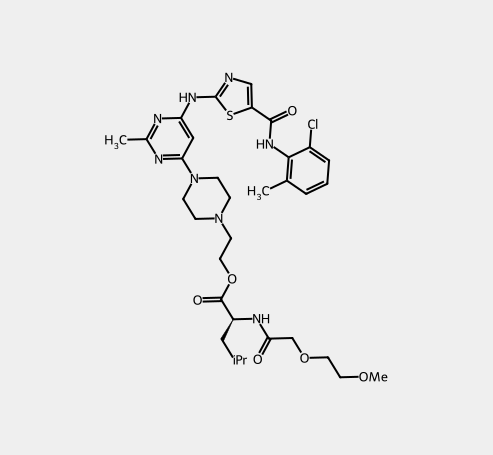 COCCOCC(=O)N[C@@H](CC(C)C)C(=O)OCCN1CCN(c2cc(Nc3ncc(C(=O)Nc4c(C)cccc4Cl)s3)nc(C)n2)CC1